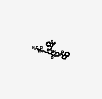 C=CC(=O)NCCCCC(NC(=O)Cc1ccccc1C(F)(F)F)C(=O)N1CCN(C(=O)c2cccc3ccccc23)CC1